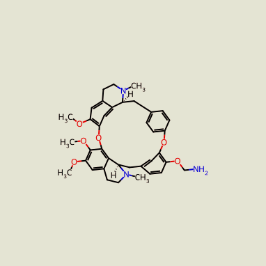 COc1cc2c3cc1Oc1c(OC)c(OC)cc4c1[C@@H](Cc1ccc(OCN)c(c1)Oc1ccc(cc1)C[C@@H]3N(C)CC2)N(C)CC4